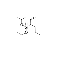 C=CC(CCC)[SiH](OC(C)C)OC(C)C